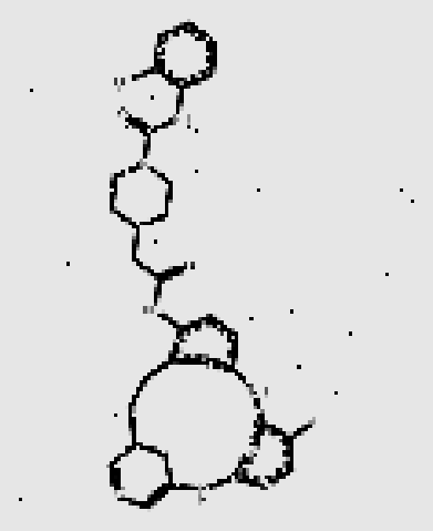 Cc1ccccc1NC(=O)N1CCC(CC(=O)Nc2ccc3cc2CCC2C=NC=C(C2)Nc2ncc(Cl)c(n2)N3)CC1